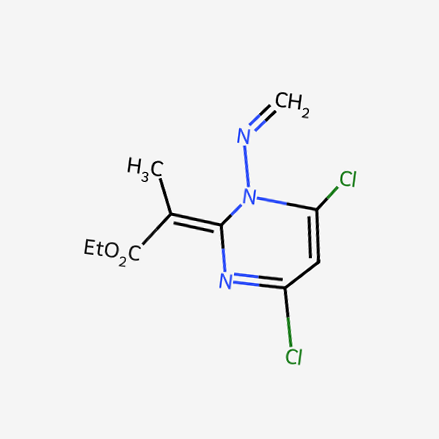 C=NN1C(Cl)=CC(Cl)=N/C1=C(/C)C(=O)OCC